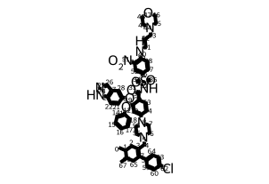 CC1CC(CN2CCN(C3=CC(Oc4ccccc4)(Oc4ccc5[nH]ncc5c4)C(C(=O)NS(=O)(=O)c4ccc(NCCCN5CCOCC5)c([N+](=O)[O-])c4)C=C3)CC2)=C(c2ccc(Cl)cc2)CC1C